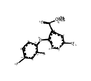 COC(=O)c1cc(C(F)(F)F)nnc1Oc1ccc(F)cc1C